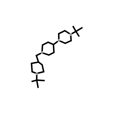 CC(C)(C)N1CCC(CN2CCC(N3CCN(C(C)(C)C)CC3)CC2)CC1